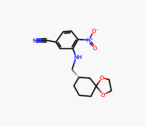 N#Cc1ccc([N+](=O)[O-])c(NC[C@H]2CCCC3(C2)OCCO3)c1